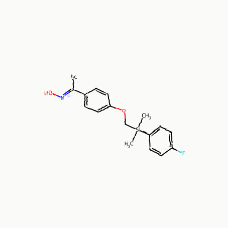 CC(=O)/C(=N\O)c1ccc(OC[Si](C)(C)c2ccc(F)cc2)cc1